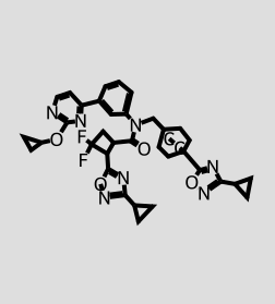 O=C(C1CC(F)(F)C1c1nc(C2CC2)no1)N(CC12CCC(c3nc(C4CC4)no3)(CC1)CC2)c1cccc(-c2ccnc(OC3CC3)n2)c1